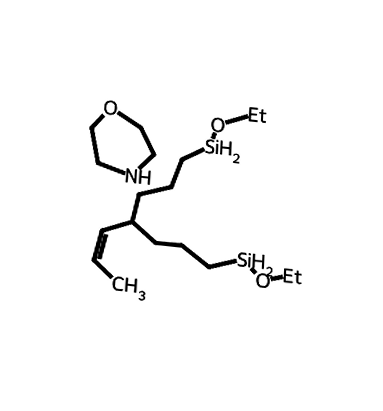 C/C=C\C(CCC[SiH2]OCC)CCC[SiH2]OCC.C1COCCN1